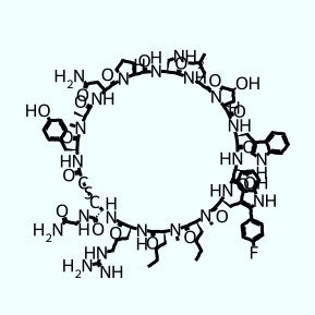 CCCC[C@H]1C(=O)N(C)[C@@H](CCCC)C(=O)N[C@@H](CCCNC(=N)N)C(=O)N[C@H](C(=O)NCC(N)=O)CSCC(=O)N[C@@H](Cc2ccc(O)cc2)C(=O)N(C)[C@@H](C)C(=O)NC(CC(N)=O)C(=O)N2CCC[C@H]2C(=O)N[C@@H](CN)C(=O)N[C@@H](CC(C)C)C(=O)N2C[C@H](O)C[C@H]2C(=O)N[C@@H](Cc2c[nH]c3ccccc23)C(=O)N[C@@H](CO)C(=O)N[C@@H](Cc2c(-c3ccc(F)cc3)[nH]c3ccccc23)C(=O)N1C